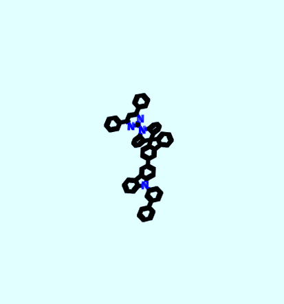 c1ccc(-c2cccc(-n3c4ccccc4c4cc(-c5ccc6c(c5)-c5ccccc5C65c6ccccc6N(c6nc(-c7ccccc7)cc(-c7ccccc7)n6)c6ccccc65)ccc43)c2)cc1